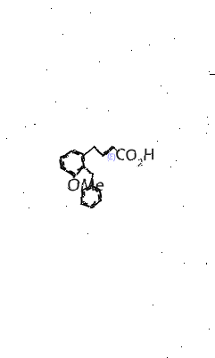 COc1cccc(C/C=C/C(=O)O)c1Cc1ccccc1